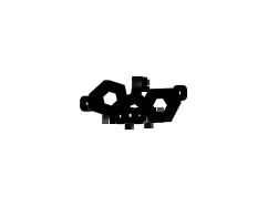 CCC(C1(C(=O)O)CCC2OC2C1)C1(C(=O)O)CCC2OC2C1